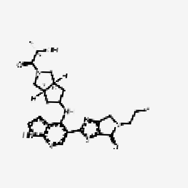 C[C@H](O)C(=O)N1C[C@H]2CC(Nc3c(-c4nc5c(s4)C(=O)N(CCF)C5)cnc4[nH]ccc34)C[C@H]2C1